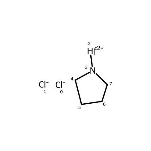 [Cl-].[Cl-].[Hf+2][N]1CCCC1